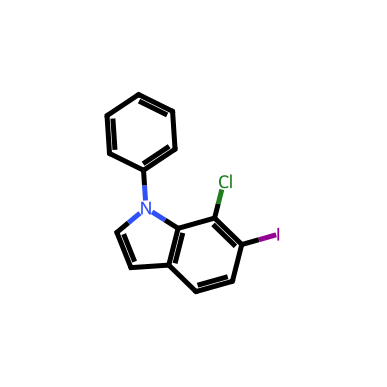 Clc1c(I)ccc2ccn(-c3ccccc3)c12